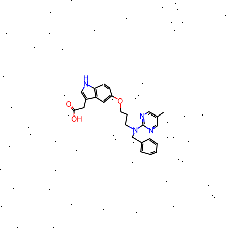 Cc1cnc(N(CCCOc2ccc3[nH]cc(CC(=O)O)c3c2)Cc2ccccc2)nc1